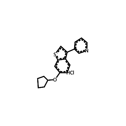 Cl.c1cncc(-c2csc3cc(OC4CCCC4)ccc23)c1